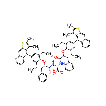 CCc1cc(-c2c3ccccc3cc3sc(C)c(C)c23)cc(CC)c1OC(Cc1ccccc1)C(=O)NC(NC(=O)C(Cc1ccccc1)Oc1c(CC)cc(-c2c3ccccc3cc3sc(C)c(C)c23)cc1CC)C(=O)O